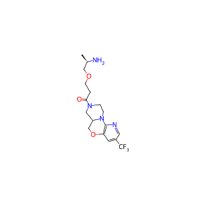 C[C@@H](N)COCCC(=O)N1CCN2c3ncc(C(F)(F)F)cc3OCC2C1